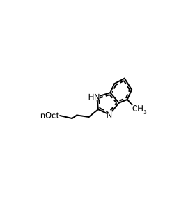 CCCCCCCCCCCc1nc2c(C)cccc2[nH]1